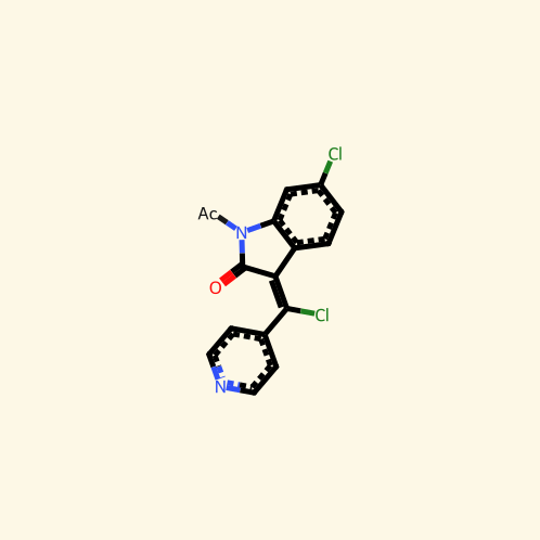 CC(=O)N1C(=O)C(=C(Cl)c2ccncc2)c2ccc(Cl)cc21